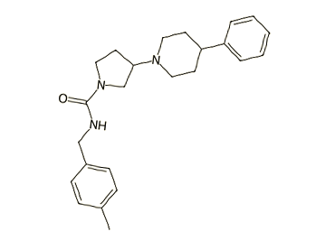 Cc1ccc(CNC(=O)N2CCC(N3CCC(c4ccccc4)CC3)C2)cc1